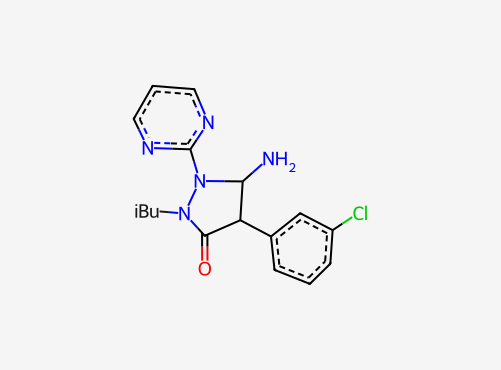 CCC(C)N1C(=O)C(c2cccc(Cl)c2)C(N)N1c1ncccn1